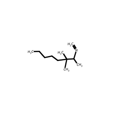 C=NC(C)C(C)(C)CCCCC